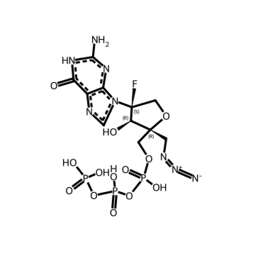 [N-]=[N+]=NC[C@]1(COP(=O)(O)OP(=O)(O)OP(=O)(O)O)OC[C@@](F)(n2cnc3c(=O)[nH]c(N)nc32)[C@@H]1O